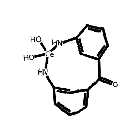 O=C1c2cccc(c2)[NH][Ce]([OH])([OH])[NH]c2cccc1c2